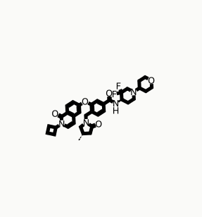 C[C@H]1CC(=O)N(Cc2ccc(C(=O)N[C@@H]3CCN(C4CCOCC4)CC3(F)F)cc2Oc2ccc3c(=O)n(C4CCC4)ccc3c2)C1